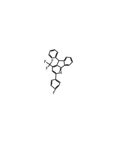 Fc1ccc(-c2cc(C(F)(F)F)c3c(n2)-c2ccccc2C3c2ccccc2)cc1